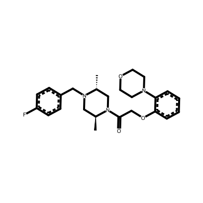 C[C@@H]1CN(C(=O)COc2ccccc2N2CCOCC2)[C@@H](C)CN1Cc1ccc(F)cc1